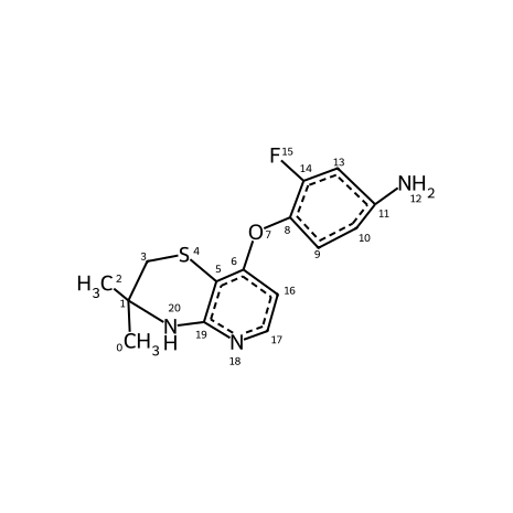 CC1(C)CSc2c(Oc3ccc(N)cc3F)ccnc2N1